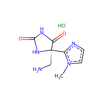 Cl.Cn1ccnc1[C@@]1(CN)NC(=O)NC1=O